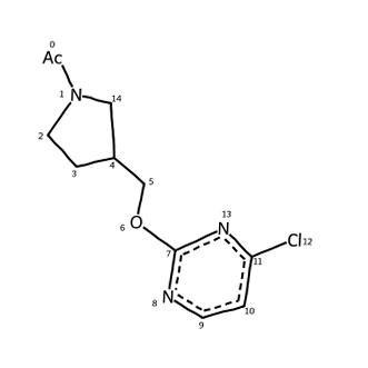 CC(=O)N1CCC(COc2nccc(Cl)n2)C1